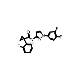 O=C(Nc1ccn(-c2ccc(F)c(F)c2)n1)C1(c2ccccc2F)CC1